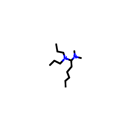 CCCCCC(N(C)C)N(CCC)CCC